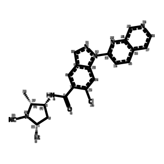 CC[C@H]1C[C@@H](NC(=O)c2cc3cnn(-c4ccc5ccncc5n4)c3cc2Cl)[C@@H](C)N1C#N